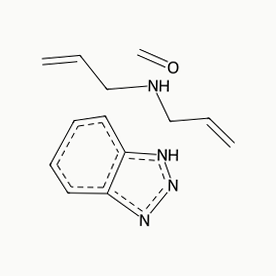 C=CCNCC=C.C=O.c1ccc2[nH]nnc2c1